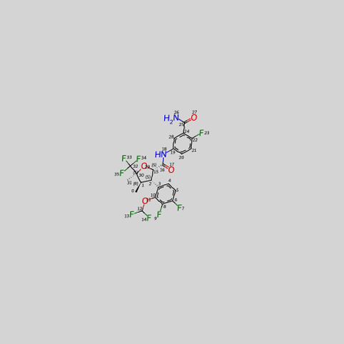 C[C@@H]1[C@@H](c2ccc(F)c(F)c2OC(F)F)[C@@H](C(=O)Nc2ccc(F)c(C(N)=O)c2)O[C@]1(C)C(F)(F)F